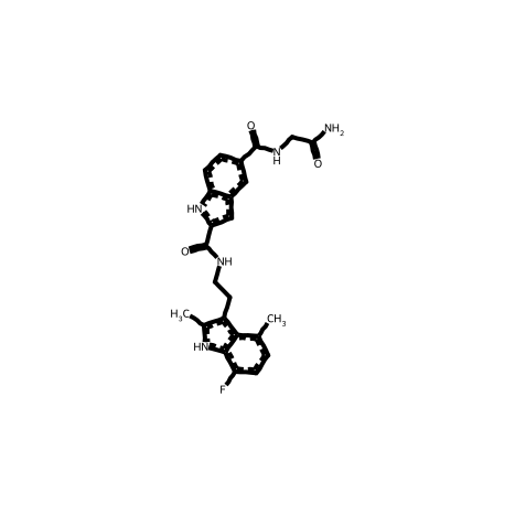 Cc1[nH]c2c(F)ccc(C)c2c1CCNC(=O)c1cc2cc(C(=O)NCC(N)=O)ccc2[nH]1